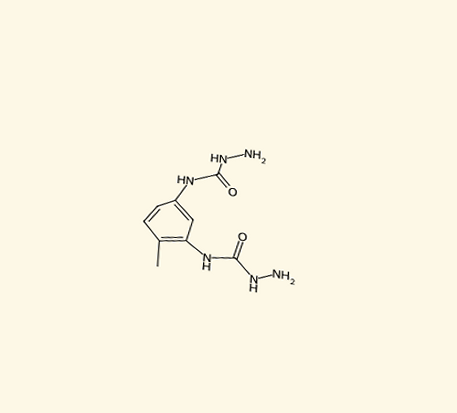 Cc1ccc(NC(=O)NN)cc1NC(=O)NN